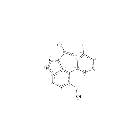 COc1ccc2[nH]nc(C(=O)O)c2c1-c1cc(I)ccn1